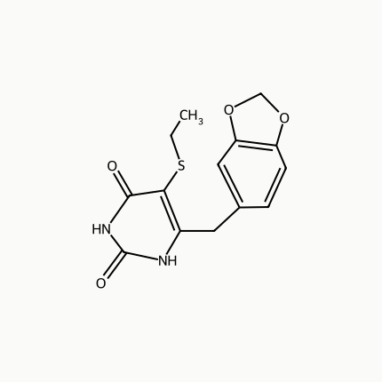 CCSc1c(Cc2ccc3c(c2)OCO3)[nH]c(=O)[nH]c1=O